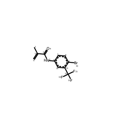 C=C(C)C(=O)Nc1ccc(Br)c(C(F)(F)F)c1